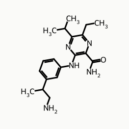 CCc1nc(C(N)=O)c(Nc2cccc(C(C)CN)c2)nc1C(C)C